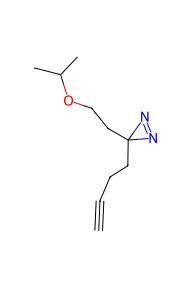 C#CCCC1(CCOC(C)C)N=N1